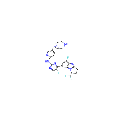 Fc1cnc(Nc2ccc(CN3C4CCC3CNC4)cn2)nc1-c1cc(F)c2nc3n(c2c1)C(C(F)F)CC3